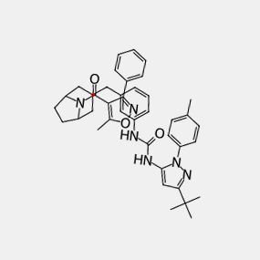 Cc1ccc(-n2nc(C(C)(C)C)cc2NC(=O)Nc2cccc(CC3CC4CCC(C3)N4C(=O)c3c(-c4ccccc4)noc3C)c2)cc1